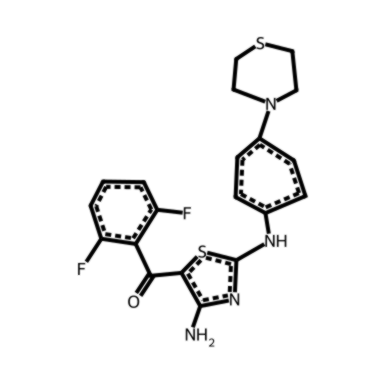 Nc1nc(Nc2ccc(N3CCSCC3)cc2)sc1C(=O)c1c(F)cccc1F